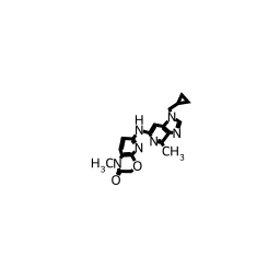 Cc1nc(Nc2ccc3c(n2)OCC(=O)N3C)cc2c1ncn2CC1CC1